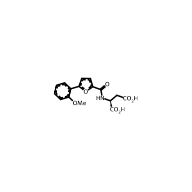 COc1ccccc1-c1ccc(C(=O)N[C@@H](CC(=O)O)C(=O)O)o1